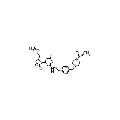 C=CC(=O)N1CCN(Cc2ccc(CCNc3nc(F)cc(N4C(=O)OC[C@H]4CCOC)n3)cc2)CC1